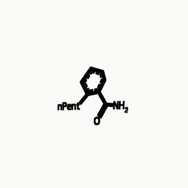 CCCCCc1ccccc1C(N)=O